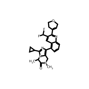 CC1C(=O)N(C)Cc2c(-c3cccc4nc(C5=CCOCC5)c(C(F)F)cc34)nc(C3CC3)n21